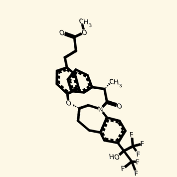 COC(=O)CCc1ccc(O[C@H]2CCc3cc(C(O)(C(F)(F)F)C(F)(F)F)ccc3N(C(=O)[C@@H](C)c3ccccc3)C2)cc1